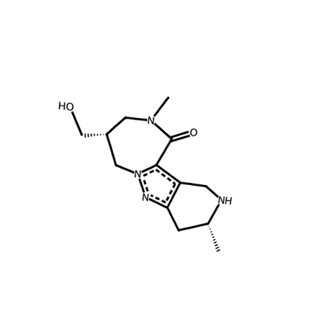 C[C@@H]1Cc2nn3c(c2CN1)C(=O)N(C)C[C@@H](CO)C3